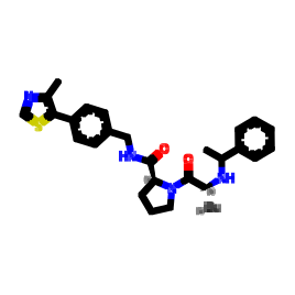 CC[C@H](C)[C@H](NC(C)c1ccccc1)C(=O)N1CCC[C@H]1C(=O)NCc1ccc(-c2scnc2C)cc1